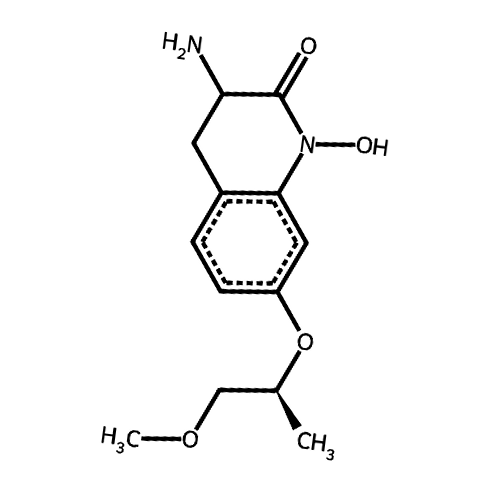 COC[C@H](C)Oc1ccc2c(c1)N(O)C(=O)C(N)C2